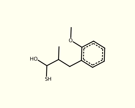 COc1ccccc1CC(C)C(O)S